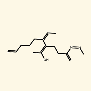 C=CCCCC(=C/C)/C(CCC(=C)/N=N\C)=C(\C)O